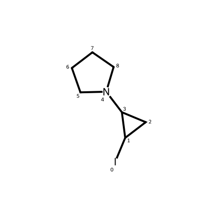 IC1CC1N1CCCC1